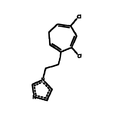 ClC1=CCC=C(CCn2ccnc2)C(Cl)=C1